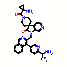 NC(c1ccc(-c2c(CN3C(=O)C4(CCN(C(=O)C5(N)CC5)CC4)c4ccncc43)ncc3ccccc23)cn1)C(F)(F)F